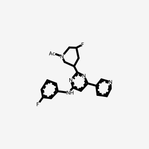 CC(=O)N1CC(F)CC(c2nc(Nc3cccc(F)c3)cc(-c3cccnc3)n2)C1